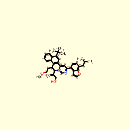 C=C(CO)C1C(CCOC)c2c(cc(C(C)(C)C)c3ccccc23)-c2cc(-c3ccc(CC(C)C)c4occc34)nc[n+]21